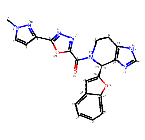 Cn1ccc(-c2nnc(C(=O)N3CCc4[nH]cnc4[C@H]3c3cc4ccccc4o3)o2)n1